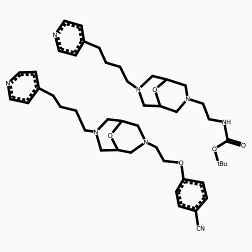 CC(C)(C)OC(=O)NCCN1CC2CN(CCCCc3ccncc3)CC(C1)O2.N#Cc1ccc(OCCN2CC3CN(CCCCc4ccncc4)CC(C2)O3)cc1